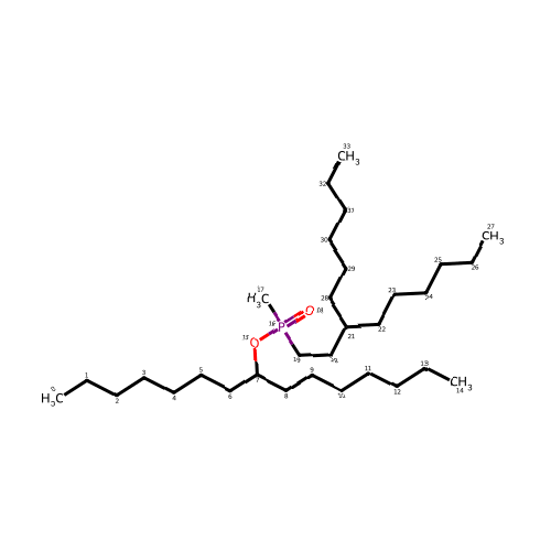 CCCCCCCC(CCCCCCC)OP(C)(=O)CCC(CCCCCC)CCCCCC